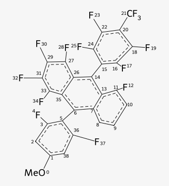 COc1cc(F)c(-c2c3cccc(F)c3c(-c3c(F)c(F)c(C(F)(F)F)c(F)c3F)c3c(F)c(F)c(F)c(F)c23)c(F)c1